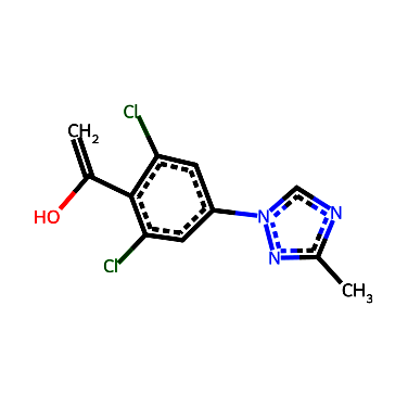 C=C(O)c1c(Cl)cc(-n2cnc(C)n2)cc1Cl